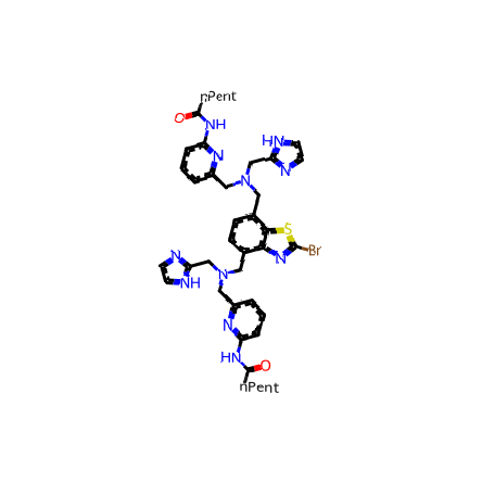 CCCCCC(=O)Nc1cccc(CN(Cc2ncc[nH]2)Cc2ccc(CN(Cc3cccc(NC(=O)CCCCC)n3)Cc3ncc[nH]3)c3sc(Br)nc23)n1